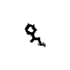 CC(=C[N+](=O)[O-])c1ccccc1